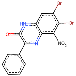 O=c1[nH]c2cc(Br)c(Br)c([N+](=O)[O-])c2nc1-c1ccccc1